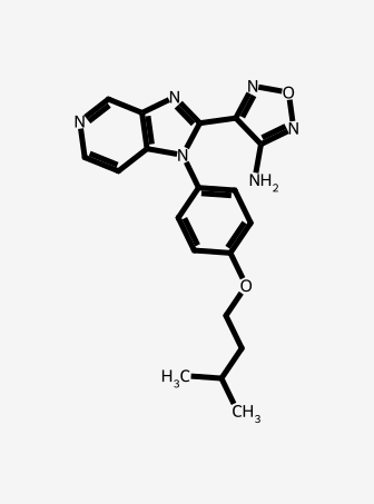 CC(C)CCOc1ccc(-n2c(-c3nonc3N)nc3cnccc32)cc1